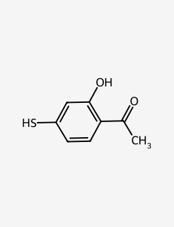 CC(=O)c1ccc(S)cc1O